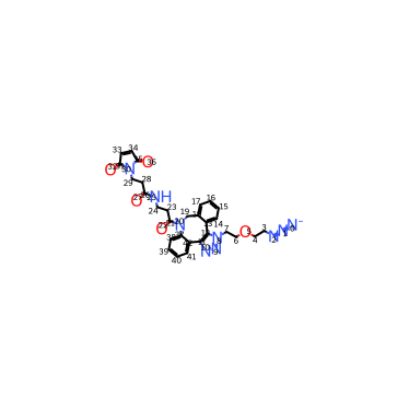 [N-]=[N+]=NCCOCCn1nnc2c1-c1ccccc1CN(C(=O)CCNC(=O)CCN1C(=O)C=CC1=O)c1ccccc1-2